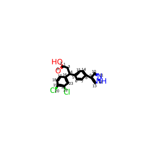 O=C(O)CC(c1ccc(-c2cn[nH]c2)cc1)c1ccc(Cl)c(Cl)c1